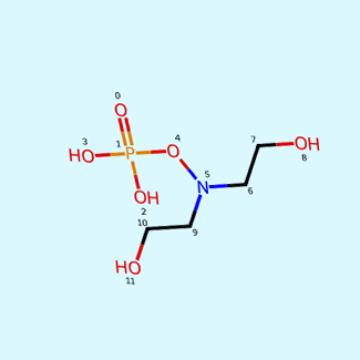 O=P(O)(O)ON(CCO)CCO